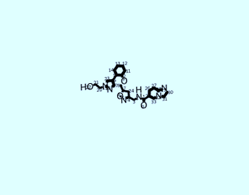 O=C(NCC1=NOC(COc2ccccc2-c2cnn(CCO)c2)C1)c1ccc2nccn2c1